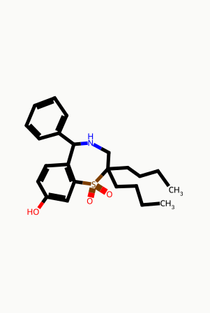 CCCCC1(CCCC)CNC(c2ccccc2)c2ccc(O)cc2S1(=O)=O